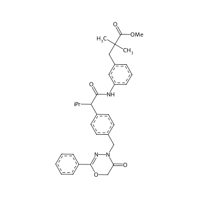 COC(=O)C(C)(C)Cc1cccc(NC(=O)C(c2ccc(CN3N=C(c4ccccc4)OCC3=O)cc2)C(C)C)c1